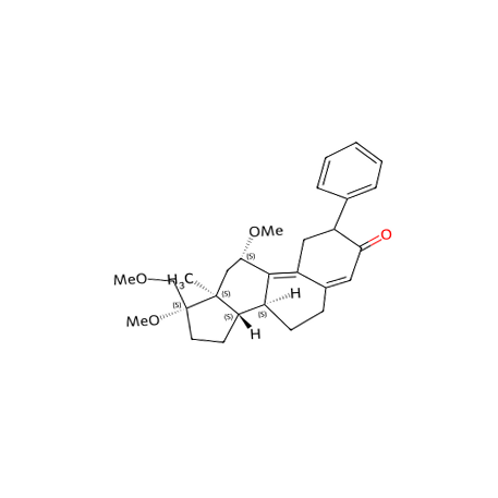 COC[C@]1(OC)CC[C@H]2[C@@H]3CCC4=CC(=O)C(c5ccccc5)CC4=C3[C@@H](OC)C[C@@]21C